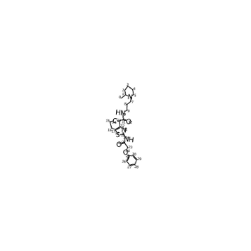 CC1CCCCN1CCCNC(=O)C1CCCc2sc(NC(=O)COc3ccccc3)nc21